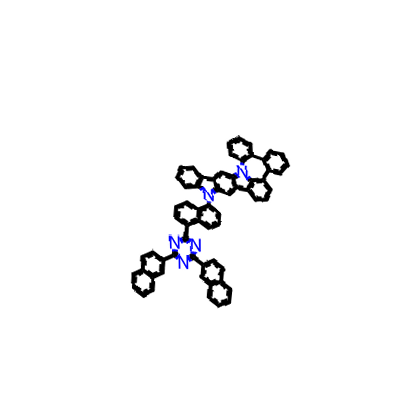 c1ccc2c(c1)-c1ccccc1-n1c3cc4c5ccccc5n(-c5cccc6c(-c7nc(-c8ccc9ccccc9c8)nc(-c8ccc9ccccc9c8)n7)cccc56)c4cc3c3cccc-2c31